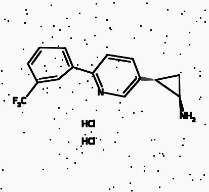 Cl.Cl.N[C@@H]1C[C@H]1c1ccc(-c2cccc(C(F)(F)F)c2)nc1